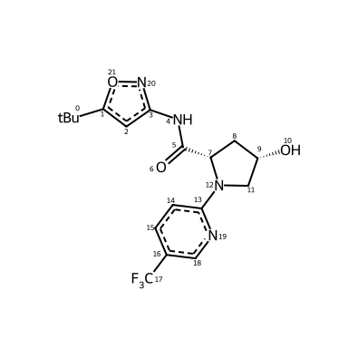 CC(C)(C)c1cc(NC(=O)[C@@H]2C[C@H](O)CN2c2ccc(C(F)(F)F)cn2)no1